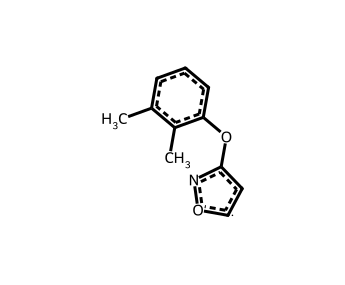 Cc1cccc(Oc2c[c]on2)c1C